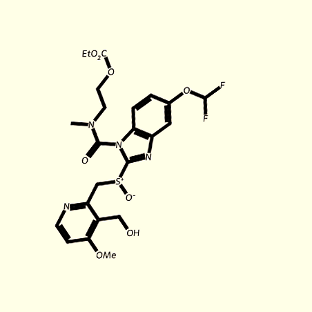 CCOC(=O)OCCN(C)C(=O)n1c([S+]([O-])Cc2nccc(OC)c2CO)nc2cc(OC(F)F)ccc21